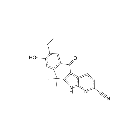 CCc1cc2c(cc1O)C(C)(C)c1[nH]c3nc(C#N)ccc3c1C2=O